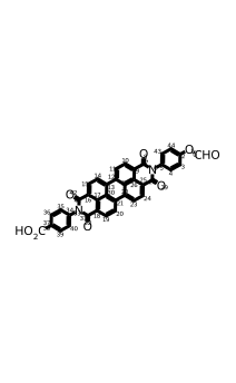 O=COc1ccc(N2C(=O)c3ccc4c5ccc6c7c(ccc(c8ccc(c3c48)C2=O)c75)C(=O)N(c2ccc(C(=O)O)cc2)C6=O)cc1